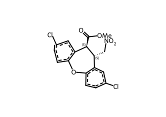 COC(=O)[C@@H]1c2cc(Cl)ccc2Oc2ccc(Cl)cc2[C@H]1C[N+](=O)[O-]